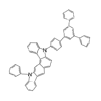 c1ccc(-c2cc(-c3ccccc3)cc(-c3ccc(-n4c5ccccc5c5c6cc7c(cc6ccc54)c4ccccc4n7-c4ccccc4)cc3)c2)cc1